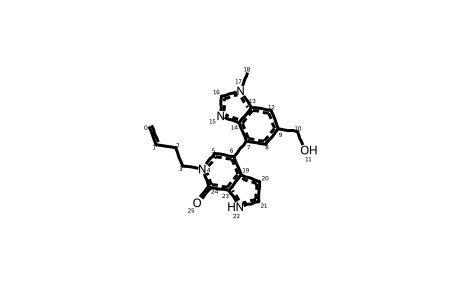 C=CCCn1cc(-c2cc(CO)cc3c2ncn3C)c2cc[nH]c2c1=O